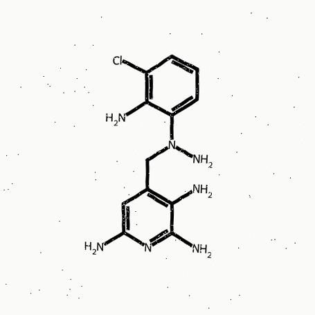 Nc1cc(CN(N)c2cccc(Cl)c2N)c(N)c(N)n1